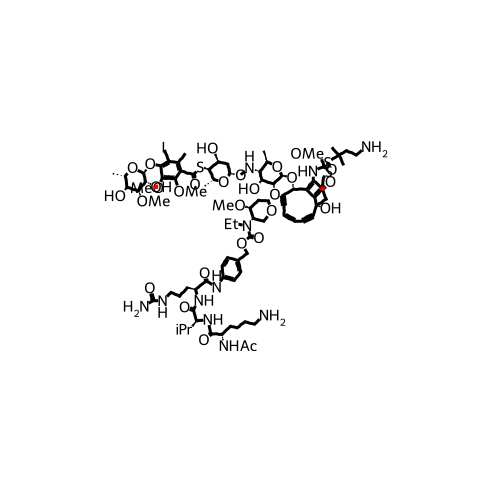 CCN(C(=O)OCc1ccc(NC(=O)[C@H](CCCNC(N)=O)NC(=O)[C@@H](NC(=O)[C@H](CCCCN)NC(C)=O)C(C)C)cc1)[C@H]1CO[C@@H](O[C@H]2[C@H](O[C@H]3C#CC=CC#C[C@]4(O)CC(=O)C(NC(=O)OC)=C3/C4=C\CSSC(C)(C)CCN)O[C@H](C)[C@@H](NO[C@H]3C[C@H](O)[C@H](SC(=O)c4c(C)c(I)c(O[C@@H]5O[C@@H](C)[C@H](O)[C@@H](OC)[C@H]5O)c(OC)c4OC)[C@@H](C)O3)[C@@H]2O)C[C@@H]1OC